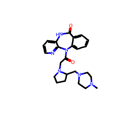 CN1CCN(CC2CCCN2CC(=O)N2c3ccccc3C(=O)Nc3cccnc32)CC1